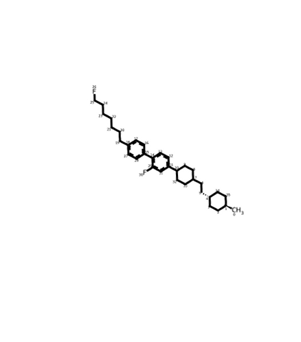 C[C@H]1CC[C@H](CCC2CCC(c3ccc(-c4ccc(CCCCCCCF)cc4)c(F)c3)CC2)CC1